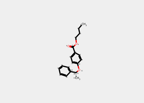 CCCCOC(=O)c1ccc(O[C@H](C)c2ccccc2)cc1